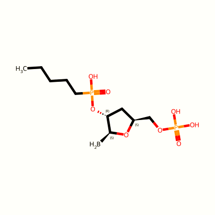 B[C@@H]1O[C@H](COP(=O)(O)O)C[C@H]1OP(=O)(O)CCCCC